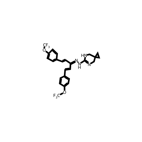 FC(F)(F)Oc1ccc(C=CC(C=Cc2ccc(OC(F)(F)F)cc2)=NNC2=NCC3(CC3)CN2)cc1